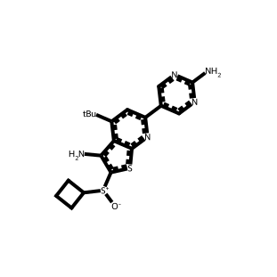 CC(C)(C)c1cc(-c2cnc(N)nc2)nc2sc([S+]([O-])C3CCC3)c(N)c12